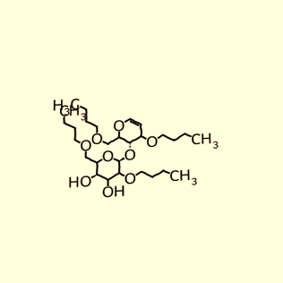 CCCCOCC1O[C@@H](O[C@H]2C(OCCCC)C=COC2COCCCC)C(OCCCC)C(O)[C@H]1O